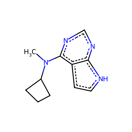 CN(c1ncnc2[nH]ccc12)C1CCC1